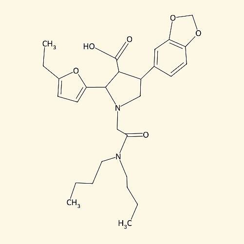 CCCCN(CCCC)C(=O)CN1CC(c2ccc3c(c2)OCO3)C(C(=O)O)C1c1ccc(CC)o1